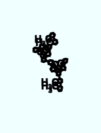 CC1(C)c2ccccc2-c2ccc(-c3cc4c5ccc6c7ccccc7oc6c5n5c4c(c3)c3ccc4c6cc(-c7cccc8oc9c(ccc%10c%11cc(-c%12cccc%13c%12C(C)(C)c%12ccccc%12-%13)cc%12c%13ccc%14c%15ccccc%15oc%14c%13n(c%12%11)c%109)c78)ccc6oc4c35)cc21